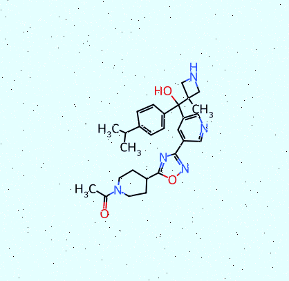 CC(=O)N1CCC(c2nc(-c3cncc(C(O)(c4ccc(C(C)C)cc4)C4(C)CNC4)c3)no2)CC1